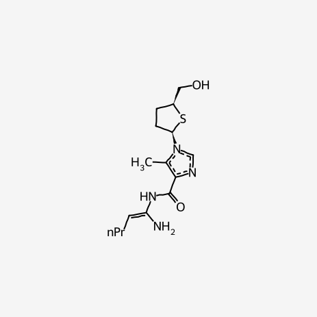 CCC/C=C(\N)NC(=O)c1ncn([C@H]2CC[C@@H](CO)S2)c1C